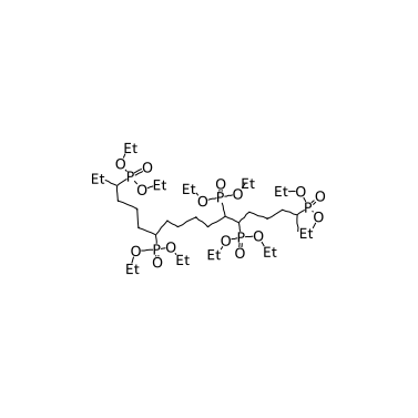 CCOP(=O)(OCC)C(C)CCCC(C(CCCCC(CCCC(CC)P(=O)(OCC)OCC)P(=O)(OCC)OCC)P(=O)(OCC)OCC)P(=O)(OCC)OCC